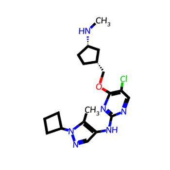 CN[C@H]1CC[C@@H](COc2nc(Nc3cnn(C4CCC4)c3C)ncc2Cl)C1